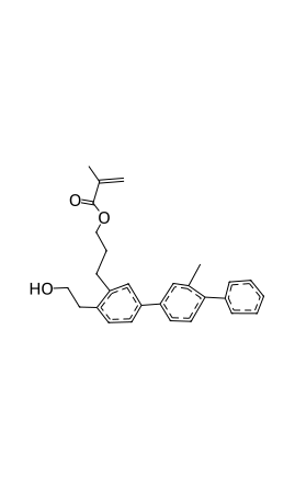 C=C(C)C(=O)OCCCc1cc(-c2ccc(-c3ccccc3)c(C)c2)ccc1CCO